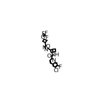 O=C(NC12CCC1C(c1nnc(C3CC(OC(F)(F)F)C3)o1)C2)c1ccc2cc(Cl)c(F)cc2n1